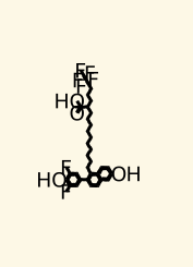 O=C(O)C(CCCCCCCCCCc1c(-c2cc(F)c(O)c(F)c2)ccc2cc(O)ccc12)CCCC(F)(F)C(F)(F)F